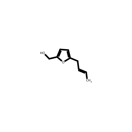 CC=CCc1ccc(CO)o1